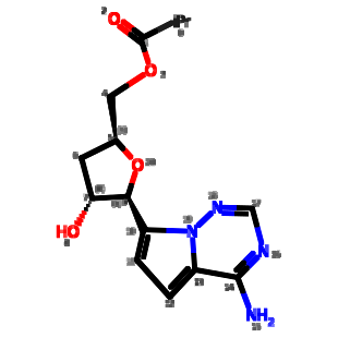 CC(C)C(=O)OC[C@@H]1C[C@@H](O)[C@H](c2ccc3c(N)ncnn23)O1